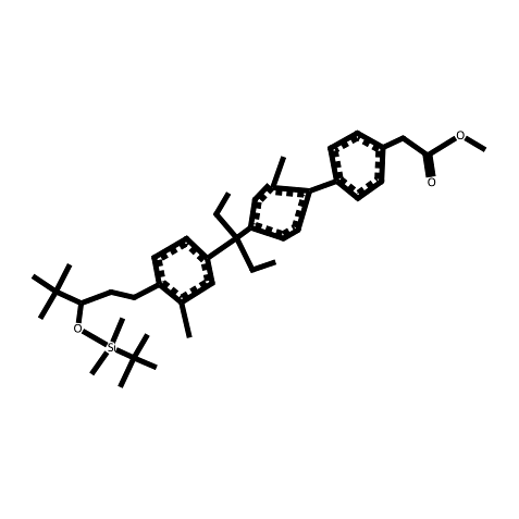 CCC(CC)(c1ccc(CCC(O[Si](C)(C)C(C)(C)C)C(C)(C)C)c(C)c1)c1ccc(-c2ccc(CC(=O)OC)cc2)c(C)c1